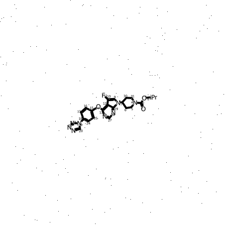 CC(C)OC(=O)N1CCC(n2cc(F)c3c(Oc4ccc(-n5cnnn5)cc4)ncnc32)CC1